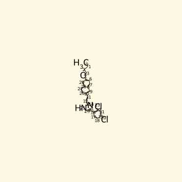 CCCCOc1ccc2cc(/C=C/c3nc(-c4ccc(Cl)cc4Cl)c[nH]3)ccc2c1